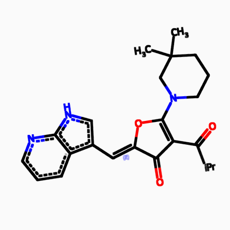 CC(C)C(=O)C1=C(N2CCCC(C)(C)C2)O/C(=C\c2c[nH]c3ncccc23)C1=O